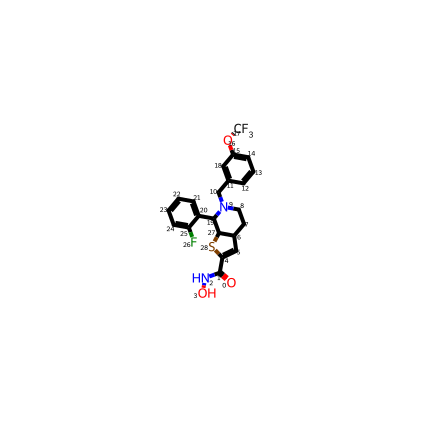 O=C(NO)C1=CC2CCN(Cc3cccc(OC(F)(F)F)c3)C(c3ccccc3F)C2S1